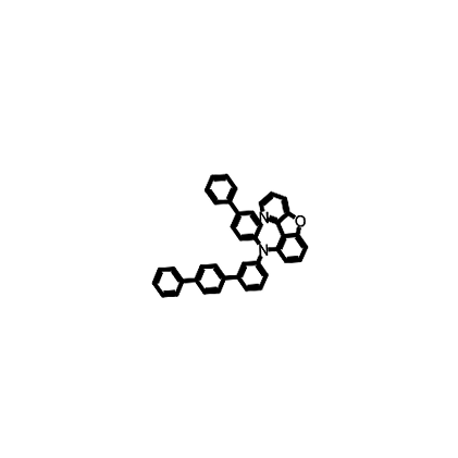 c1ccc(-c2ccc(-c3cccc(N(c4ccc(-c5ccccc5)cc4)c4cccc5oc6cccnc6c45)c3)cc2)cc1